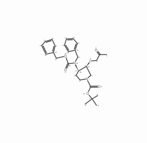 CC(=O)CO[C@H]1CN(C(=O)OC(C)(C)C)CC[C@H]1N(Cc1ccccc1)C(=O)OCc1ccccc1